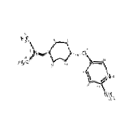 CN(C)[C@H]1CC[C@H](Oc2ccc(N)nc2)CC1